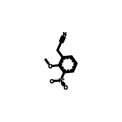 COc1c(CC#N)cccc1[N+](=O)[O-]